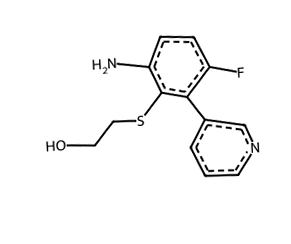 Nc1ccc(F)c(-c2cccnc2)c1SCCO